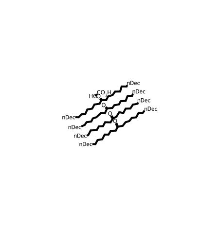 CCCCCCCCCCCCCCCCCC(=O)CCCCCCCCCCCCCCCCC.CCCCCCCCCCCCCCCCCC(=O)CCCCCCCCCCCCCCCCC.CCCCCCCCCCCCCCCCCC(=O)CCCCCCCCCCCCCCCCC.CCCCCCCCCCCCCCCCCC(=O)CCCCCCCCCCCCCCCCC.O=C(O)O